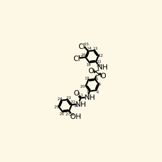 O=C(Nc1ccc(S(=O)(=O)Nc2ccc(Cl)c(Cl)c2)cc1)Nc1ccccc1O